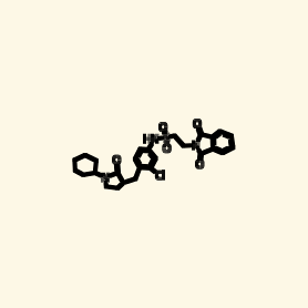 O=C1c2ccccc2C(=O)N1CCS(=O)(=O)Nc1ccc(CC2CCN(C3CCCCC3)C2=O)c(Cl)c1